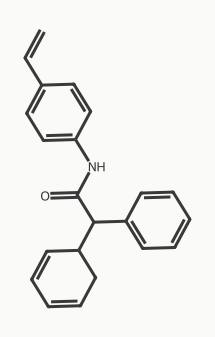 C=Cc1ccc(NC(=O)C(c2ccccc2)C2C=CC=CC2)cc1